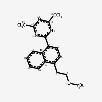 CCCCOCCc1ccc(-c2nc(C(Cl)(Cl)Cl)nc(C(Cl)(Cl)Cl)n2)c2ccccc12